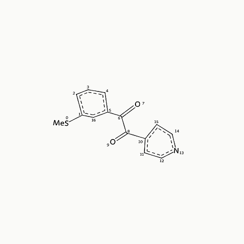 CSc1cccc(C(=O)C(=O)c2ccncc2)c1